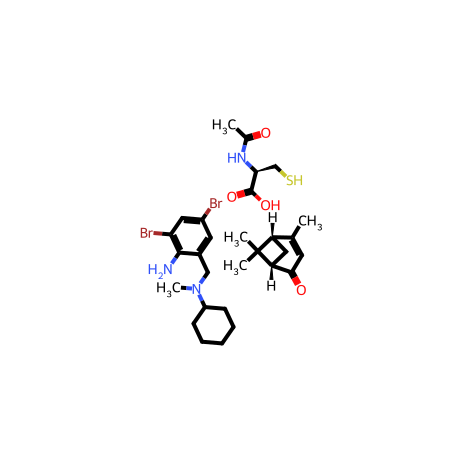 CC(=O)N[C@@H](CS)C(=O)O.CC1=CC(=O)[C@H]2C[C@@H]1C2(C)C.CN(Cc1cc(Br)cc(Br)c1N)C1CCCCC1